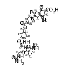 CCNC(=O)C1(C(=O)NC(CCCNC(N)=O)C(=O)Nc2ccc(COC(=O)N3CCN(c4cc5c(cc4F)c(=O)c(C(=O)O)cn5CC)CC3)cc2)CCC1